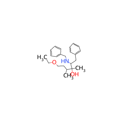 CCOCCC(C)C(C)(O)C(Cc1ccccc1)NCc1ccccc1